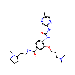 Cc1cnc(NC(=O)Nc2ccc(C(=O)NCCC3CCCN3C)cc2OCCCN(C)C)cn1